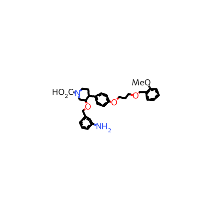 COc1ccccc1COCCCOc1ccc(C2CCN(C(=O)O)CC2OCc2cccc(N)c2)cc1